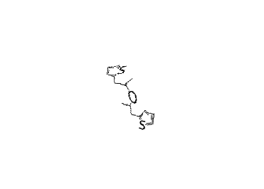 CC(Cc1cccs1)OC(C)Cc1cccs1